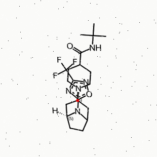 CC(C)(C)NC(=O)C1CCN([C@H]2CC3CC[C@@H](C2)N3c2nc(C(F)(F)F)no2)CC1